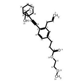 C=CCc1cc(CCC(=O)OCCOC)ccc1C#CC1(O)CN2CCC1CC2